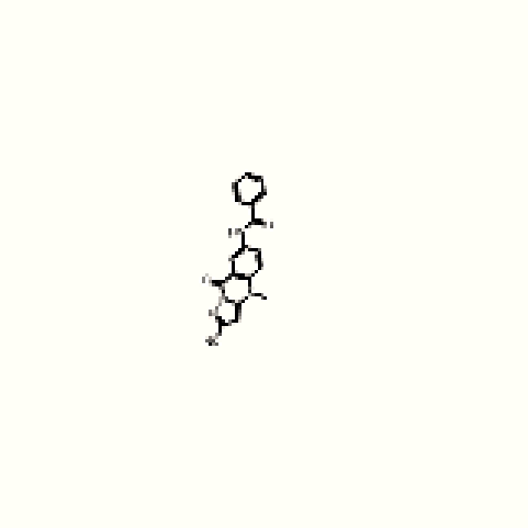 Cn1c2ccc(NC(=O)c3ccccc3)cc2c(=O)n2nc(C#N)cc12